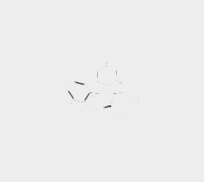 CCC(C(=O)O)[PH]1(Cc2ccccc2)CCCCC1